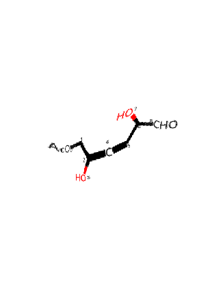 CC(=O)OCC(O)=C=CC(O)C=O